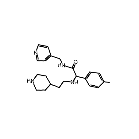 Cc1ccc(C(NCCC2CCNCC2)C(=O)NCc2ccncc2)cc1